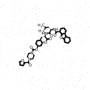 CC(C)C[C@H](NC(=O)c1cccc2c1oc1ccccc12)C(=O)N[C@@H](Cc1ccc(OC(=O)N2CCN(C(=O)c3ccco3)CC2)cc1)C(=O)O